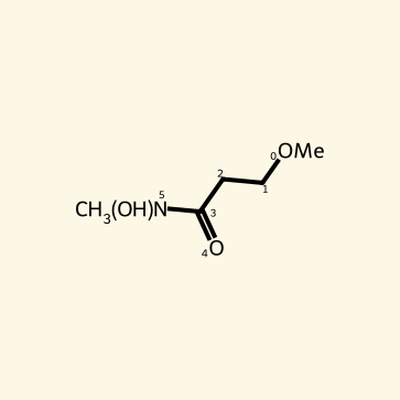 [CH2]OCCC(=O)N(C)O